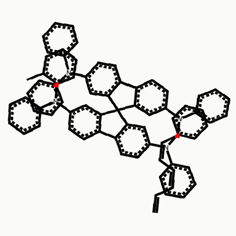 C=C/C=C\C=C/CN(c1ccccc1)c1ccc2c(c1)C1(c3cc(N(c4ccccc4)c4ccccc4)ccc3-2)c2cc(N(c3ccccc3)c3ccccc3)ccc2-c2ccc(N(c3ccccc3)c3ccccc3C)cc21